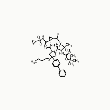 CCCCS[C@@]1(c2ccc(-c3ccccc3)cc2)C[C@@H](C(=O)N[C@]2(C(=O)NS(=O)(=O)C3CC3)C[C@H]2C(F)F)N(C(=O)[C@@H](NC(=O)OC(C)(C)C)C(C)(C)C)C1